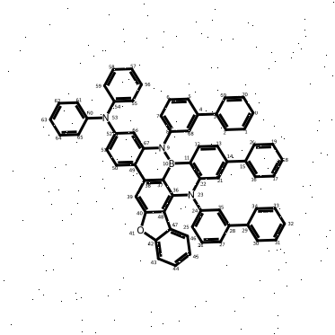 c1ccc(-c2cccc(N3B4c5ccc(-c6ccccc6)cc5N(c5cccc(-c6ccccc6)c5)c5c4c(cc4oc6ccccc6c54)-c4ccc(N(c5ccccc5)c5ccccc5)cc43)c2)cc1